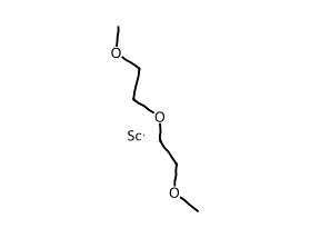 COCCOCCOC.[Sc]